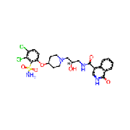 NS(=O)(=O)c1c(OC2CCN(C[C@H](O)CNC(=O)c3c[nH]c(=O)c4ccccc34)CC2)ccc(Cl)c1Cl